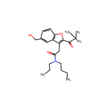 CCCCN(CCC)C(=O)Cc1c(C(=O)C(C)(C)C)oc2ccc(CO)cc12